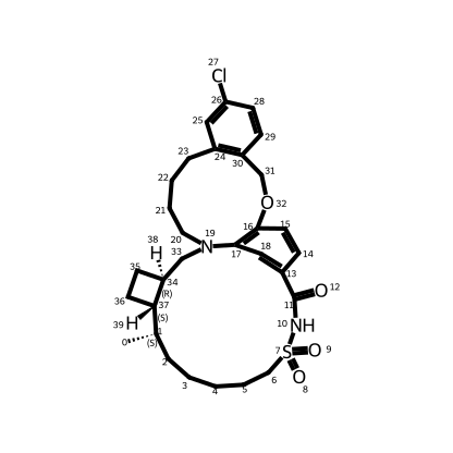 C[C@H]1CCCCCS(=O)(=O)NC(=O)c2ccc3c(c2)N(CCCCc2cc(Cl)ccc2CO3)C[C@@H]2CC[C@H]21